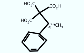 C[C@H](c1ccccc1)C(C(=O)O)(C(=O)O)C(=O)O